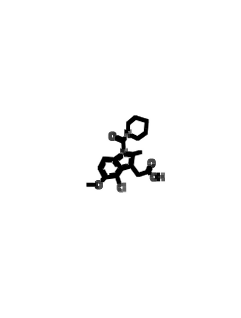 COc1ccc2c(c1Cl)c(CC(=O)O)c(C)n2C(=O)N1CCCCC1